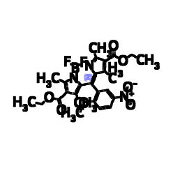 CCOC(=O)C1=C(C)/C(=C(\c2cc([N+](=O)[O-])ccc2OC)c2c(C)c(C(=O)OCC)c(C)n2B(F)F)N=C1C